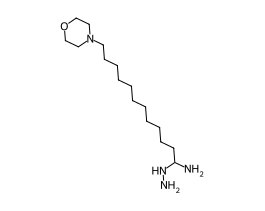 NNC(N)CCCCCCCCCCCN1CCOCC1